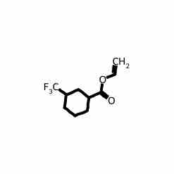 C=COC(=O)C1CCCC(C(F)(F)F)C1